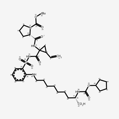 C=CC1CC1(NC(=O)[C@@H]1CCCN1C(=O)OC(C)(C)C)C(=O)NS(=O)(=O)c1ccccc1NCCCCCCC[C@H](NC(=O)OC1CCCC1)C(=O)O